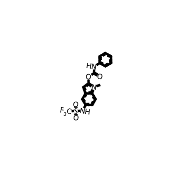 Cn1c(OC(=O)Nc2ccccc2)cc2cc(NS(=O)(=O)C(F)(F)F)ccc21